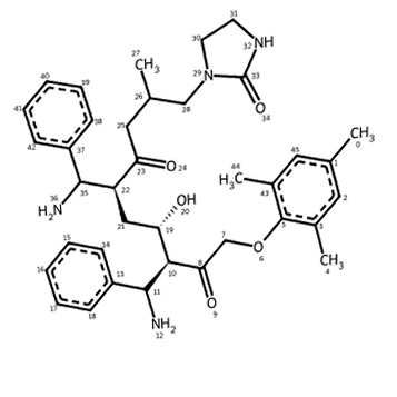 Cc1cc(C)c(OCC(=O)[C@@H](C(N)c2ccccc2)[C@@H](O)C[C@H](C(=O)CC(C)CN2CCNC2=O)C(N)c2ccccc2)c(C)c1